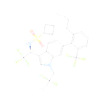 CCCc1cccc(C(F)(F)F)c1-c1ccc2c([C@H](NS(=O)(=O)C3CCC3)C(F)(F)F)cn(CC(C)(F)F)c2c1